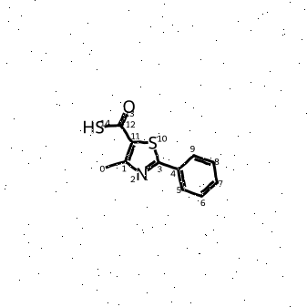 Cc1nc(-c2ccccc2)sc1C(=O)S